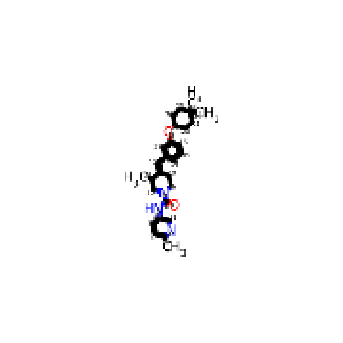 Cc1ccc(NC(=O)N2CC/C(=C\c3cccc(OC4CCC(C)(C)CC4)c3)C(C)C2)cn1